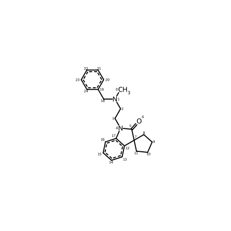 CN(CCN1C(=O)C2(CCCC2)c2ccccc21)Cc1ccccc1